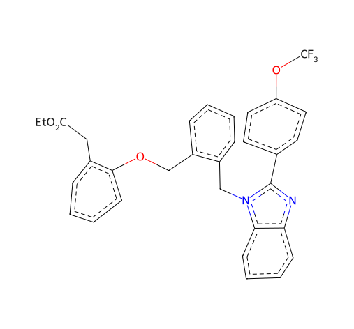 CCOC(=O)Cc1ccccc1OCc1ccccc1Cn1c(-c2ccc(OC(F)(F)F)cc2)nc2ccccc21